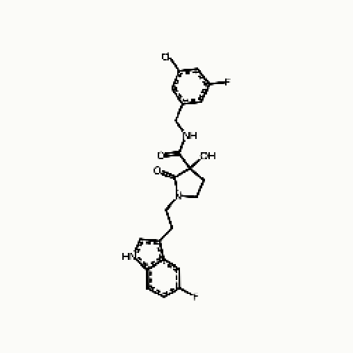 O=C(NCc1cc(F)cc(Cl)c1)C1(O)CCN(CCc2c[nH]c3ccc(F)cc23)C1=O